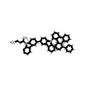 C=C/C=C(\C)n1c2ccccc2c2cc(-c3ccc4c(c3)c3ccccc3n4-c3cccc4c5ccccc5c5c(-c6ccccc6)cccc5c34)ccc21